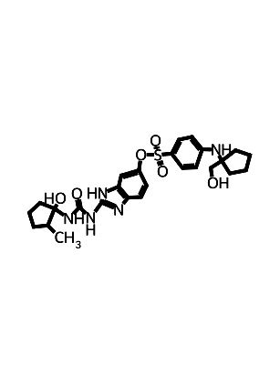 CC1CCCC1(O)NC(=O)Nc1nc2ccc(OS(=O)(=O)c3ccc(NC4(CO)CCCC4)cc3)cc2[nH]1